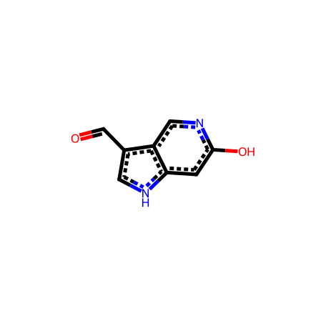 O=Cc1c[nH]c2cc(O)ncc12